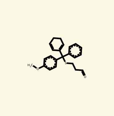 COc1ccc(C(SCCC=O)(C2=CCCC=C2)c2ccccc2)cc1